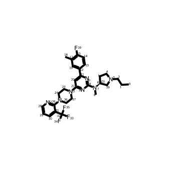 CCCN1CC[C@H](N(C)c2nc(-c3ccc(F)c(C)c3)cc(N3CCN(c4ncccc4C(F)(F)F)CC3)n2)C1